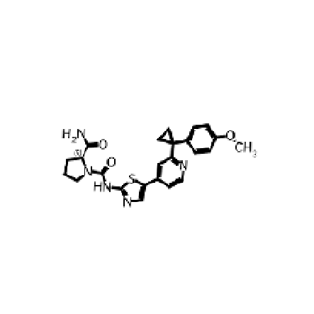 COc1ccc(C2(c3cc(-c4cnc(NC(=O)N5CCC[C@H]5C(N)=O)s4)ccn3)CC2)cc1